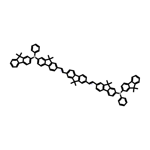 CC1(C)c2cc(/C=C/c3ccc4c(c3)C(C)(C)c3cc(N(c5ccccc5)c5ccc6c(c5)C(C)(C)c5ccccc5-6)ccc3-4)ccc2-c2ccc(/C=C/c3ccc4c(c3)C(C)(C)c3cc(N(c5ccccc5)c5ccc6c(c5)C(C)(C)c5ccccc5-6)ccc3-4)cc21